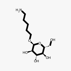 NCCCCCO[C@H]1O[C@H](CO)[C@@H](O)[C@H](O)[C@H]1O